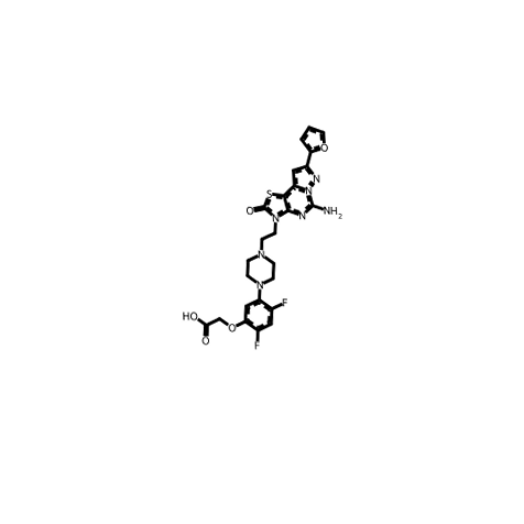 Nc1nc2c(sc(=O)n2CCN2CCN(c3cc(OCC(=O)O)c(F)cc3F)CC2)c2cc(-c3ccco3)nn12